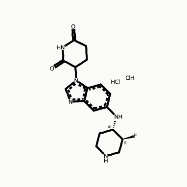 Cl.Cl.O=C1CCC(n2cnc3cc(N[C@H]4CCNC[C@@H]4F)ccc32)C(=O)N1